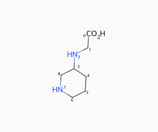 O=C(O)CNC1CCCNC1